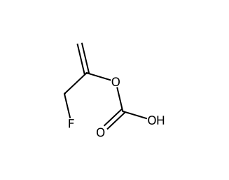 C=C(CF)OC(=O)O